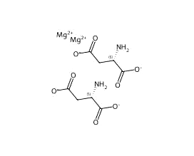 N[C@@H](CC(=O)[O-])C(=O)[O-].N[C@@H](CC(=O)[O-])C(=O)[O-].[Mg+2].[Mg+2]